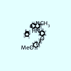 C1=CC2=CC=C1C2.COC1CCN(CCOc2cccc(Nc3cc(C)nc4ccccc34)c2)CC1